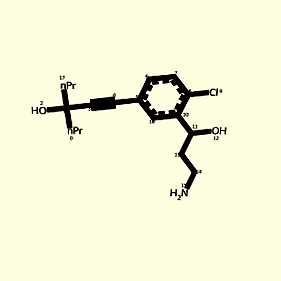 CCCC(O)(C#Cc1ccc(Cl)c(C(O)CCN)c1)CCC